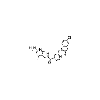 Cc1cc(N)nc(C)c1CNC(=O)c1ccnc(CN2NCc3cc(Cl)ccc32)c1